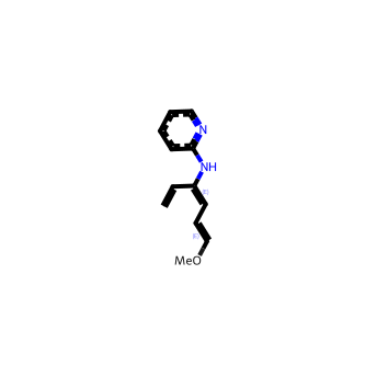 C=C/C(=C\C=C\OC)Nc1ccccn1